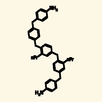 CCCc1cc(Cc2ccc(N)cc2)ccc1Cc1ccc(Cc2ccc(Cc3ccc(N)cc3)cc2)c(CCC)c1